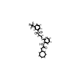 O=C(CC1CCCCCC1)Nc1cccnc1SCCS(=O)(=O)c1cccc(C(F)(F)F)c1